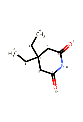 CCC1(CC)CC(=O)[N]C(=O)C1